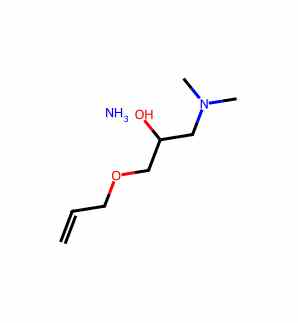 C=CCOCC(O)CN(C)C.N